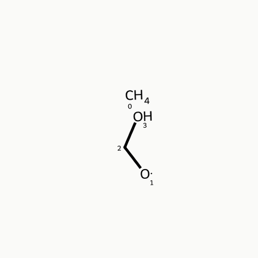 C.[O]CO